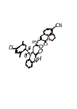 Cc1cc(S(=O)(=O)N2c3ccccc3NC(=O)C2CC(=O)N/C(=C/c2ccc(C#N)cc2)C(=O)N2CCCC2)c(C)cc1Cl